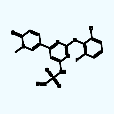 CCCC(C)S(=O)(=O)Nc1cc(-c2ccc(=O)n(C)c2)nc(Oc2c(F)cccc2Cl)n1